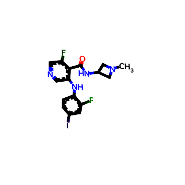 CN1CC(NC(=O)c2c(F)cncc2Nc2ccc(I)cc2F)C1